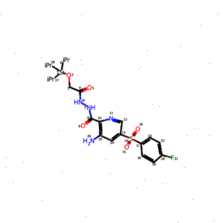 CC(C)[Si](OCC(=O)NNC(=O)c1ncc(S(=O)(=O)c2ccc(F)cc2)cc1N)(C(C)C)C(C)C